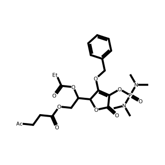 CCC(=O)OC(COC(=O)CCC(C)=O)C1OC(=O)C(OP(=O)(N(C)C)N(C)C)=C1OCc1ccccc1